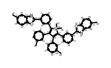 Cc1cccc(C2=C(c3cccc(-c4nc5cc(C)ccc5o4)c3)[Si](C)(C)C(c3cccc(-c4nc5cc(C)ccc5o4)c3)=C2c2cccc(C)c2)c1